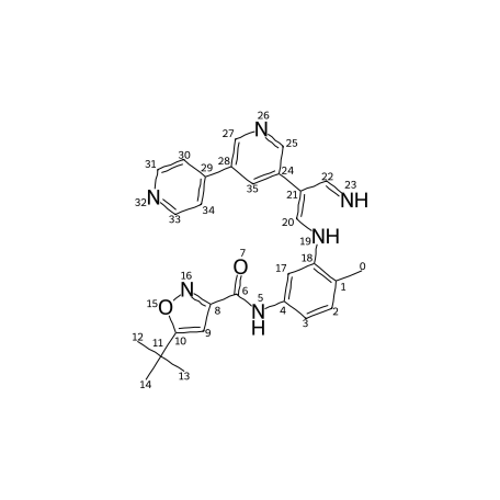 Cc1ccc(NC(=O)c2cc(C(C)(C)C)on2)cc1N/C=C(\C=N)c1cncc(-c2ccncc2)c1